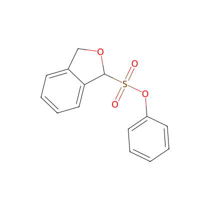 O=S(=O)(Oc1ccccc1)C1OCc2ccccc21